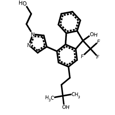 CC(C)(O)CCc1cc(-c2cnn(CCO)c2)c2c(c1)C(O)(C(F)(F)F)c1ccccc1-2